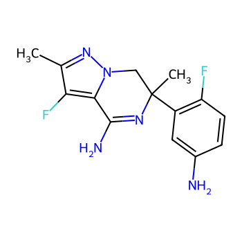 Cc1nn2c(c1F)C(N)=NC(C)(c1cc(N)ccc1F)C2